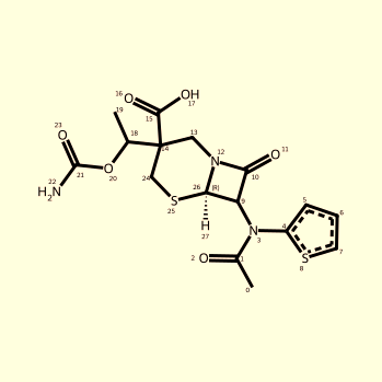 CC(=O)N(c1cccs1)C1C(=O)N2CC(C(=O)O)(C(C)OC(N)=O)CS[C@H]12